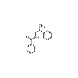 CC(CNC(=O)c1ccccc1)c1ccccc1